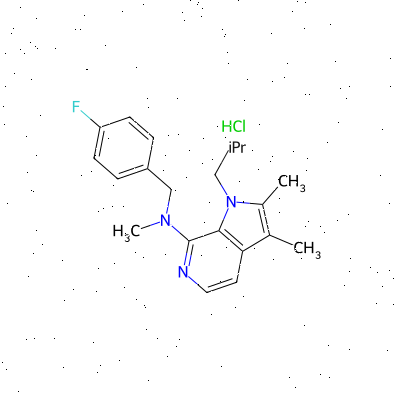 Cc1c(C)n(CC(C)C)c2c(N(C)Cc3ccc(F)cc3)nccc12.Cl